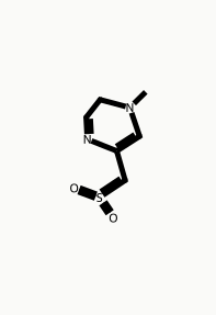 CN1C=C(C=S(=O)=O)N=CC1